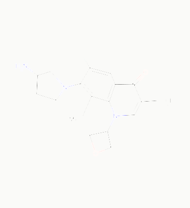 COc1c(N2CCC(N)C2)c(F)cc2c(=O)c(C(=O)O)cn(C3COC3)c12